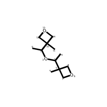 CC(OC(C)C1(C)COC1)C1(C)COC1